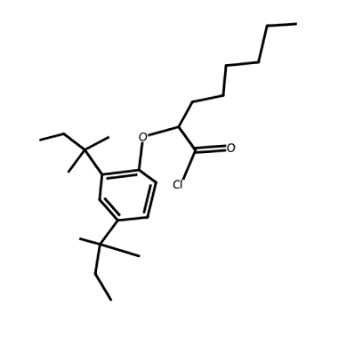 CCCCCCC(Oc1ccc(C(C)(C)CC)cc1C(C)(C)CC)C(=O)Cl